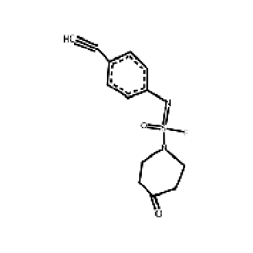 C#Cc1ccc(N=S(=O)(F)N2CCC(=O)CC2)cc1